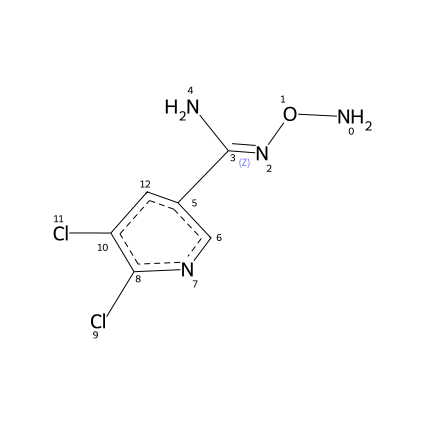 NO/N=C(\N)c1cnc(Cl)c(Cl)c1